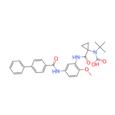 COc1ccc(NC(=O)c2ccc(-c3ccccc3)cc2)cc1NC(=O)C1(N(C(=O)O)C(C)(C)C)CC1